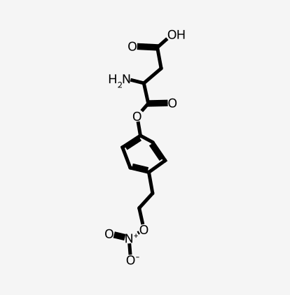 NC(CC(=O)O)C(=O)Oc1ccc(CCO[N+](=O)[O-])cc1